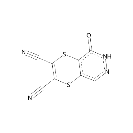 N#CC1=C(C#N)Sc2c(cn[nH]c2=O)S1